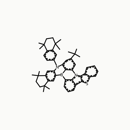 CC(C)(C)c1cc2c3c(c1)-n1c4c(cccc4c4sc5ccccc5c41)B3c1cc3c(cc1N2c1ccc2c(c1)C(C)(C)CCC2(C)C)C(C)(C)CCC3(C)C